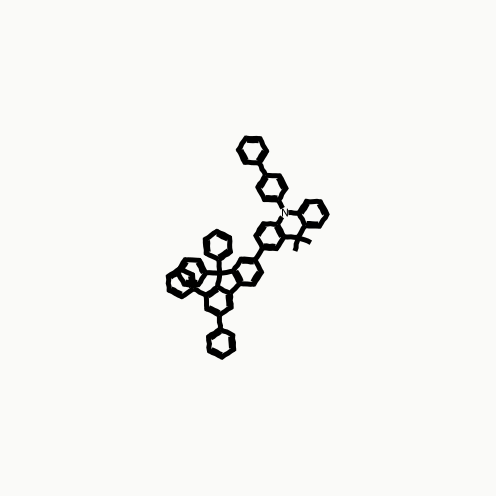 CC1(C)c2ccccc2N(c2ccc(-c3ccccc3)cc2)c2ccc(-c3ccc4c(c3)C(c3ccccc3)(c3ccccc3)c3c(-c5ccccc5)cc(-c5ccccc5)cc3-4)cc21